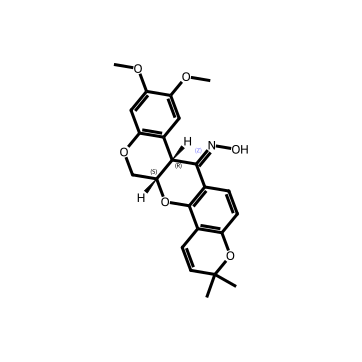 COc1cc2c(cc1OC)[C@@H]1/C(=N/O)c3ccc4c(c3O[C@@H]1CO2)C=CC(C)(C)O4